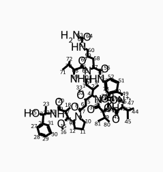 CCC(C)C(C(CC(=O)N1CCC[C@H]1C(OC)C(C)C(=O)NC(C)C(O)c1ccccc1)OC)N(C)C(=O)C(NC(=O)C(C(C)C)[N+](C)(C)Cc1ccc(NC(=O)C(CCCNC(N)=O)NC(=O)C(N)C(C)C)cc1S(=O)(=O)O)C(C)C